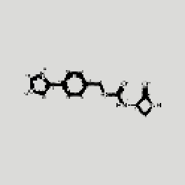 O=C(N[C@H]1CNC1=O)OCc1ccc(-c2cocn2)cc1